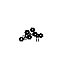 C1=CC2=NC3(c4cccc(Nc5cc6[nH]c7ccccc7c6cc5-c5ccccc5)c4)C(c4ccccc4)N3C2C=C1